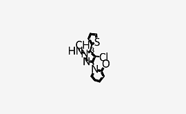 CNn1nc(-n2ccccc2=O)c(Cl)c1-c1cccs1